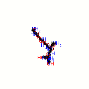 C/C(=N\O)C(C)(C)NCC(CNC(C)(C)/C(C)=N/O)NC(=O)CCCC(=O)NCCCC[C@H](NC(=O)CCCC(=O)NCCOCCOCC(=O)NCCOCCOCC(=O)NCCCC[C@H](C)C(N)=O)C(=O)NCCCC[C@H](C)C(N)=O